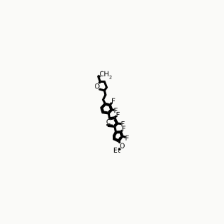 C=CC1CCC(CCc2ccc(-c3ccc(-c4ccc(OCC)c(F)c4F)c(F)c3F)c(F)c2F)CO1